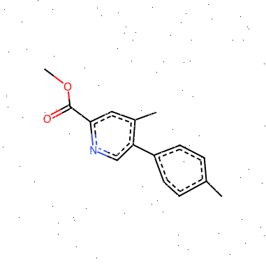 COC(=O)c1cc(C)c(-c2ccc(C)cc2)cn1